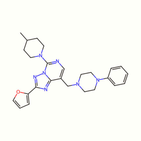 CC1CCN(c2ncc(CN3CCN(c4ccccc4)CC3)c3nc(-c4ccco4)nn23)CC1